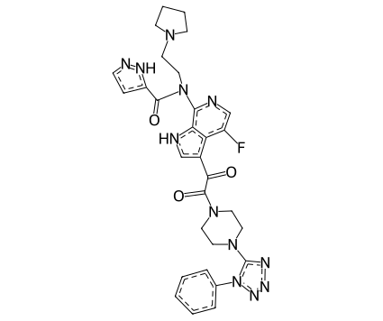 O=C(C(=O)N1CCN(c2nnnn2-c2ccccc2)CC1)c1c[nH]c2c(N(CCN3CCCC3)C(=O)c3ccn[nH]3)ncc(F)c12